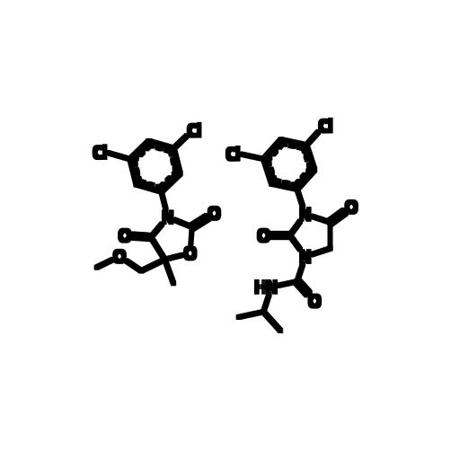 CC(C)NC(=O)N1CC(=O)N(c2cc(Cl)cc(Cl)c2)C1=O.COCC1(C)OC(=O)N(c2cc(Cl)cc(Cl)c2)C1=O